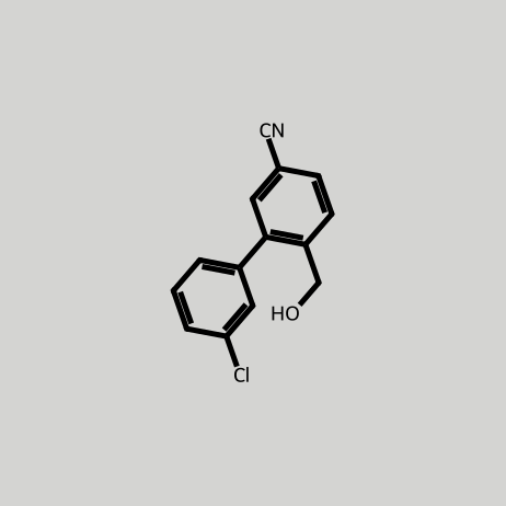 N#Cc1ccc(CO)c(-c2cccc(Cl)c2)c1